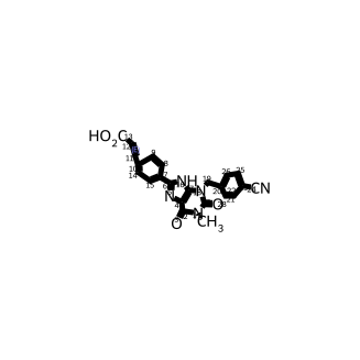 Cn1c(=O)c2nc(-c3ccc(/C=C/C(=O)O)cc3)[nH]c2n(Cc2ccc(C#N)cc2)c1=O